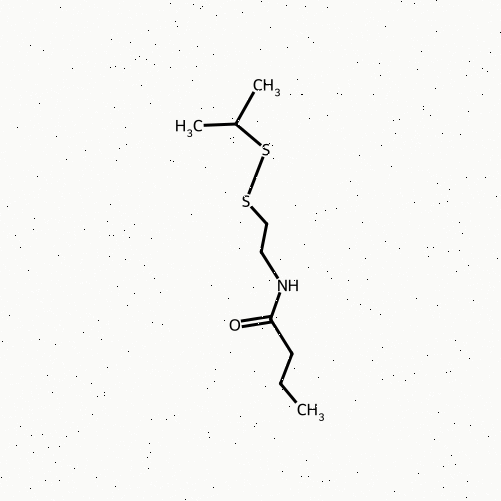 CCCC(=O)NCCSSC(C)C